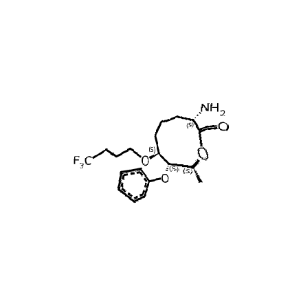 C[C@@H]1OC(=O)[C@@H](N)CCC[C@H](OCCCC(F)(F)F)[C@H]1Oc1ccccc1